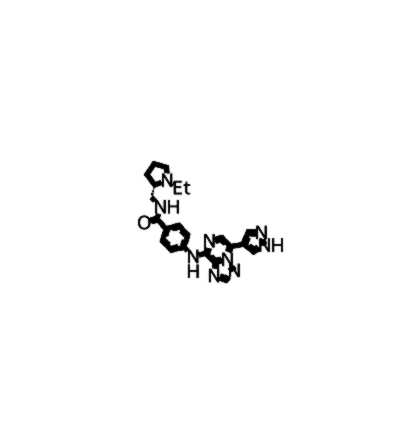 CCN1CCC[C@H]1CNC(=O)c1ccc(Nc2ncc(-c3cn[nH]c3)n3ncnc23)cc1